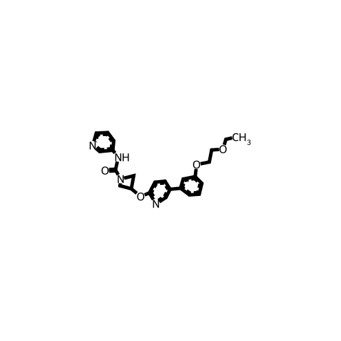 CCOCCOc1cccc(-c2ccc(OC3CN(C(=O)Nc4cccnc4)C3)nc2)c1